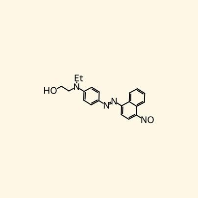 CCN(CCO)c1ccc(N=Nc2ccc(N=O)c3ccccc23)cc1